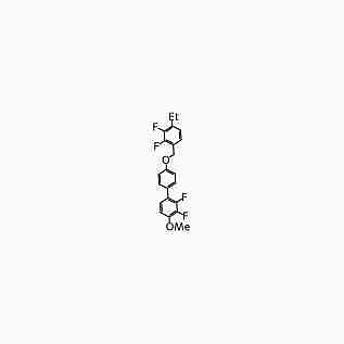 CCc1ccc(COc2ccc(-c3ccc(OC)c(F)c3F)cc2)c(F)c1F